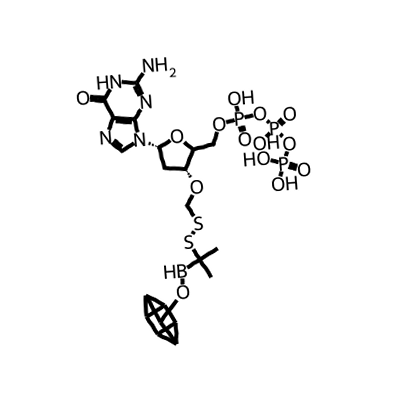 CC(C)(BOC1C2C3C2C2C1C32)SSCO[C@@H]1C[C@H](n2cnc3c(=O)[nH]c(N)nc32)OC1COP(=O)(O)OP(=O)(O)OP(=O)(O)O